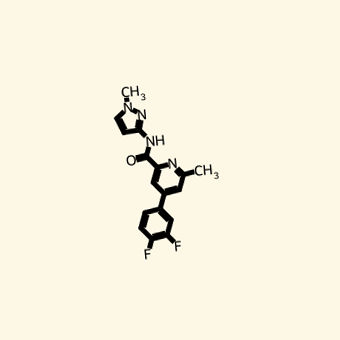 Cc1cc(-c2ccc(F)c(F)c2)cc(C(=O)Nc2ccn(C)n2)n1